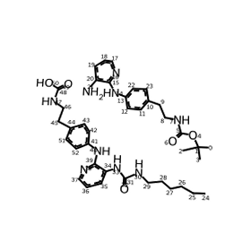 CC(C)(C)OC(=O)NCCc1ccc(Nc2ncccc2N)cc1.CCCCCCNC(=O)Nc1cccnc1Nc1ccc(CCNC(=O)O)cc1